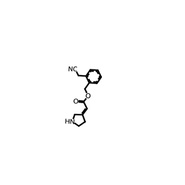 N#CCc1ccccc1COC(=O)C=C1CCNC1